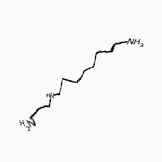 NCCCCCCCCNCCN